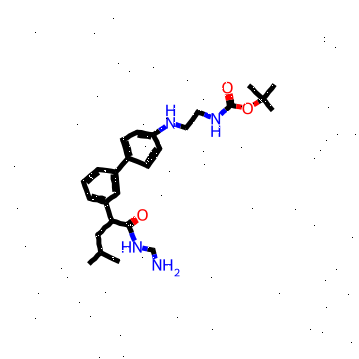 CC(C)CC(C(=O)NCN)c1cccc(-c2ccc(NCCNC(=O)OC(C)(C)C)cc2)c1